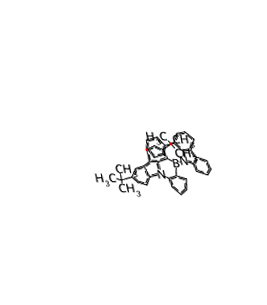 CC(C)(C)c1ccc2c(c1)c1ccc(C(C)(C)C)c3c1n2-c1ccccc1B3n1c2ccccc2c2cccc(-c3ccccc3)c21